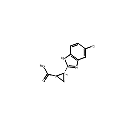 O=C(O)[C@@H]1C[C@H]1c1nc2cc(Cl)ccc2[nH]1